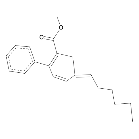 CCCCCC=C1C=CC(c2ccccc2)=C(C(=O)OC)C1